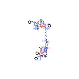 CC[C@H](NC)C(=O)NC1C(=O)N2[C@@H](CC[C@@H]1CCNCc1ccccc1)CC[C@H]2C(=O)N[C@H](C(=O)NCCCCCCCCNC(=O)COCC(=O)NC[C@H]1CC[C@H]2CC[C@@H](C(=O)NC(c3ccccc3)c3ccccc3)N2C(=O)[C@H]1NC(=O)[C@H](CC)NC)c1ccccc1